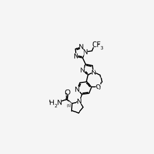 NC(=O)[C@@H]1CCCN1c1cc2c(cn1)-c1nc(-c3ncnn3CC(F)(F)F)cn1CCO2